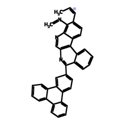 C=Nc1c(/C=C\C)ccc2c1ncc1nc(-c3ccc4c5ccccc5c5ccccc5c4c3)c3ccccc3c12